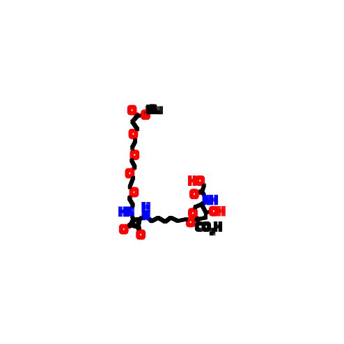 CC(C)(C)OC(=O)CCOCCOCCOCCOCCNc1c(NCCCCCCOC2(C(=O)O)CC(O)C(NC(=O)CO)CO2)c(=O)c1=O